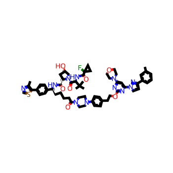 Cc1cccc(-c2ccn(-c3cc(N4CCOCC4)nc(OCCc4ccc(N5CCN(C(=O)CCCC[C@H](NC(=O)[C@@H]6C[C@@H](O)CN6C(=O)[C@@H](NC(=O)C6(F)CC6)C(C)(C)C)c6ccc(-c7scnc7C)cc6)CC5)cc4)n3)n2)c1